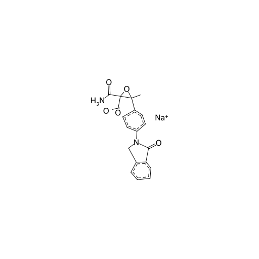 CC1(c2ccc(N3Cc4ccccc4C3=O)cc2)OC1(C(N)=O)C(=O)[O-].[Na+]